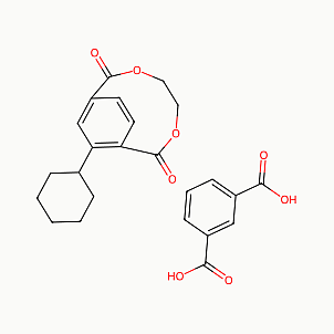 O=C(O)c1cccc(C(=O)O)c1.O=C1OCCOC(=O)c2ccc1cc2C1CCCCC1